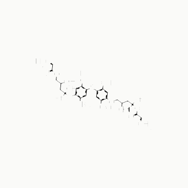 C=CC(=O)OCC(O)CC(C)(CC)Oc1cc(C)c(Sc2cc(C(C)(C)C)c(OCC(O)CC(CC)(CC)OC(=O)C=C)cc2C)cc1C(C)(C)C